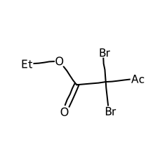 CCOC(=O)C(Br)(Br)C(C)=O